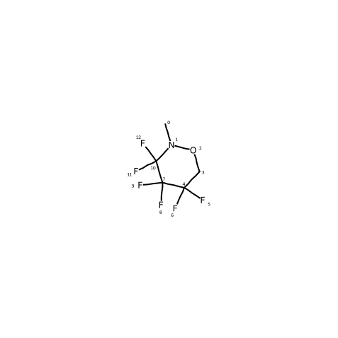 CN1OCC(F)(F)C(F)(F)C1(F)F